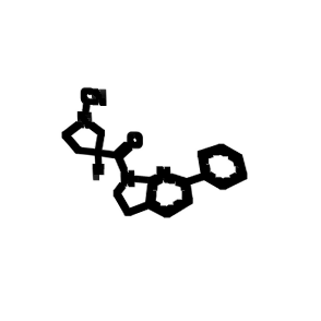 N#CN1CCC(F)(C(=O)N2CCc3ccc(-c4ccccc4)nc32)C1